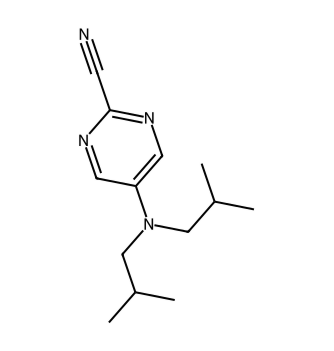 CC(C)CN(CC(C)C)c1cnc(C#N)nc1